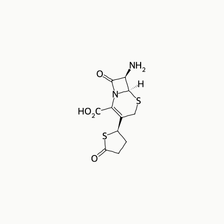 N[C@@H]1C(=O)N2C(C(=O)O)=C([C@H]3CCC(=O)S3)CS[C@H]12